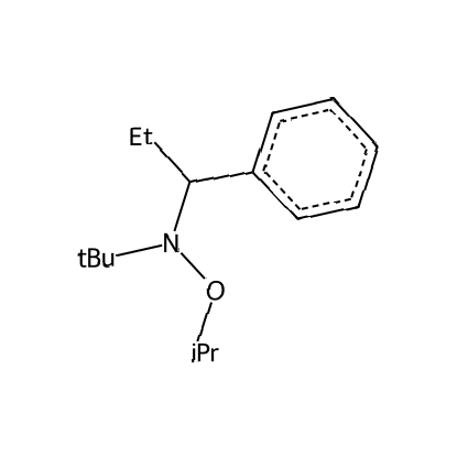 CCC(c1ccccc1)N(OC(C)C)C(C)(C)C